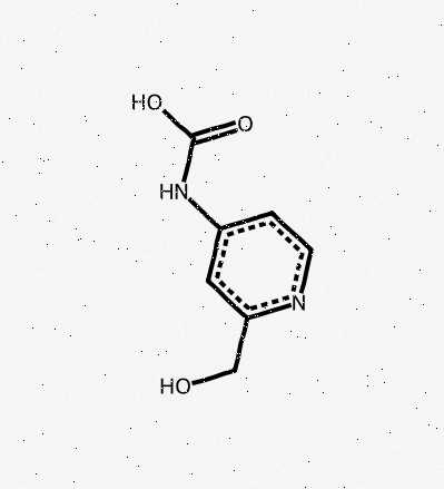 O=C(O)Nc1ccnc(CO)c1